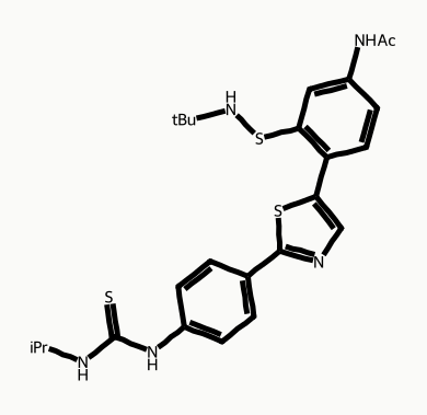 CC(=O)Nc1ccc(-c2cnc(-c3ccc(NC(=S)NC(C)C)cc3)s2)c(SNC(C)(C)C)c1